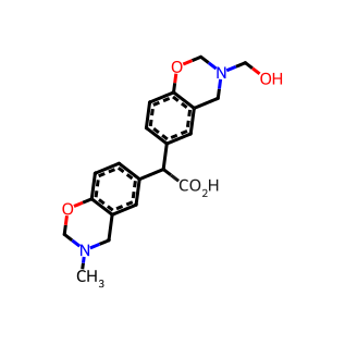 CN1COc2ccc(C(C(=O)O)c3ccc4c(c3)CN(CO)CO4)cc2C1